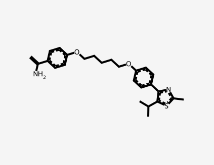 C=C(N)c1ccc(OCCCCCOc2ccc(-c3nc(C)sc3C(C)C)cc2)cc1